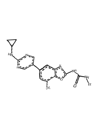 CCNC(=O)Nc1nc2cc(-c3cnc(NC4CC4)nc3)cc(C)c2o1